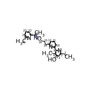 CCc1cc(O)c(C)c(-c2cccc(CCCO/N=C(\C)c3cccc(C)n3)n2)n1